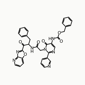 O=C(Cn1c(-c2cccnc2)ncc(NC(=O)OCc2ccccc2)c1=O)NC(Cc1ccccc1)C(=O)c1nc2ncccc2o1